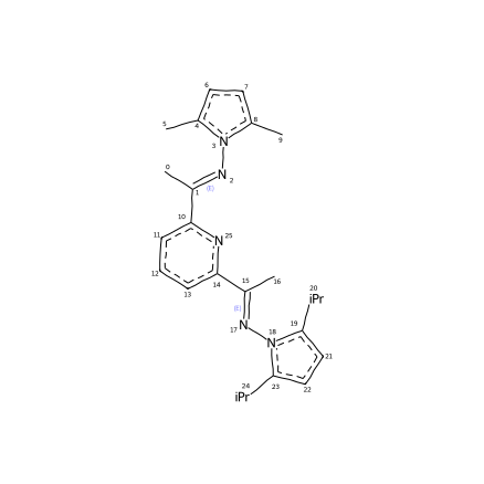 C/C(=N\n1c(C)ccc1C)c1cccc(/C(C)=N/n2c(C(C)C)ccc2C(C)C)n1